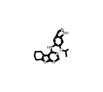 CC(C)Oc1cc2[nH]ncc2cc1Nc1ncnc2sc3c(c12)CCCC3